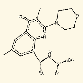 CC[C@@H](N[S@+]([O-])C(C)(C)C)c1cc(C)cc2c(=O)n(C)c(N3CCOCC3)nc12